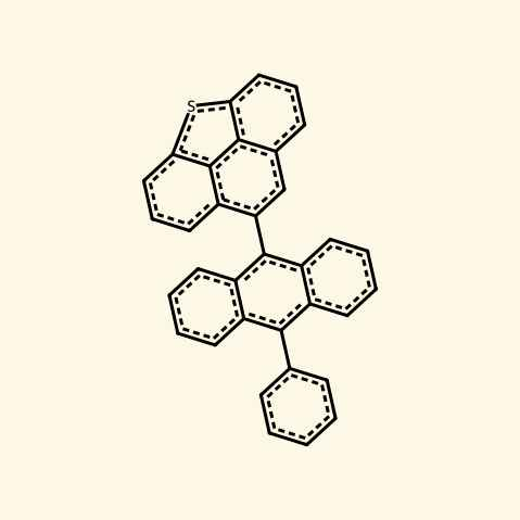 c1ccc(-c2c3ccccc3c(-c3cc4cccc5sc6cccc3c6c45)c3ccccc23)cc1